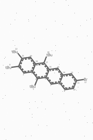 CC(C)(C)c1cc2c(C(C)(C)C)c3cc4ccc(Br)cc4cc3c(C(C)(C)C)c2cc1C(C)(C)C